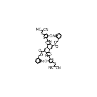 COc1cc(N=C(C#N)C#N)sc1-c1nc2c(s1)C1C=C(C(=O)OCc3ccccc3)c3nc(-c4sc(N=C(C#N)C#N)cc4OC)sc3C1C=C2C(=O)OCc1ccccc1